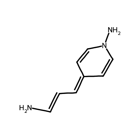 NC=CC=C1C=CN(N)C=C1